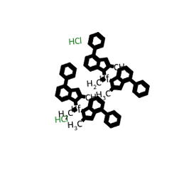 Cl.Cl.[CH2]=[Hf]([CH]1C(C)=Cc2c(-c3ccccc3)cccc21)[CH]1C(C)=Cc2c(-c3ccccc3)cccc21.[CH2]=[Hf]([CH]1C(C)=Cc2c(-c3ccccc3)cccc21)[CH]1C(C)=Cc2c(-c3ccccc3)cccc21